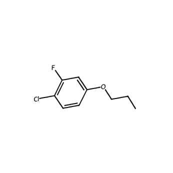 CCCOc1ccc(Cl)c(F)c1